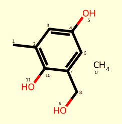 C.Cc1cc(O)cc(CO)c1O